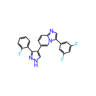 Fc1cc(F)cc(-c2cnc3ccc(-c4c[nH]nc4-c4ccccc4F)cn23)c1